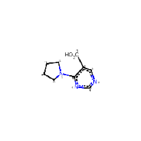 O=C(O)c1cn[c]nc1N1CCCC1